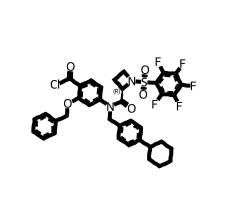 O=C(Cl)c1ccc(N(Cc2ccc(C3CCCCC3)cc2)C(=O)[C@H]2CCN2S(=O)(=O)c2c(F)c(F)c(F)c(F)c2F)cc1OCc1ccccc1